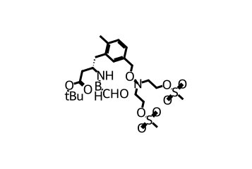 Cc1ccc(CON(CCOS(C)(=O)=O)CCOS(C)(=O)=O)cc1C[C@@H](CC(=O)OC(C)(C)C)NBC=O